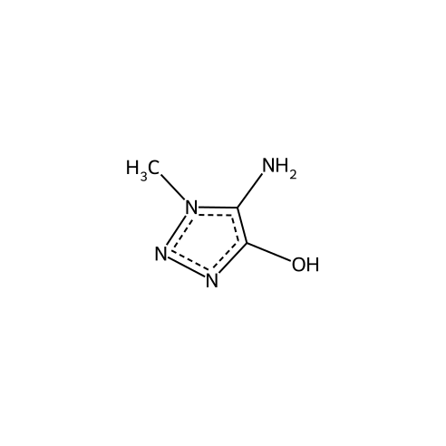 Cn1nnc(O)c1N